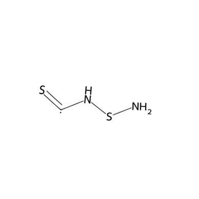 NSN[C]=S